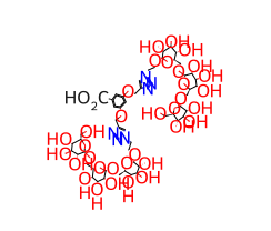 O=C(O)c1cc(OCc2cn(CCO[C@@H]3O[C@H](CO[C@@H]4O[C@H](CO[C@@H]5O[C@H](CO)[C@@H](O)[C@H](O)[C@H]5O)[C@@H](O)[C@H](O)[C@H]4O)[C@@H](O)[C@H](O)[C@H]3O)nn2)cc(OCc2cn(CCO[C@@H]3O[C@H](CO[C@@H]4O[C@H](CO[C@@H]5O[C@H](CO)[C@@H](O)[C@H](O)[C@H]5O)[C@@H](O)[C@H](O)[C@H]4O)[C@@H](O)C(O)[C@H]3O)nn2)c1